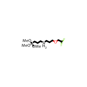 CO[Si](CCC[SiH2]CCCOCC(F)F)(OC)OC